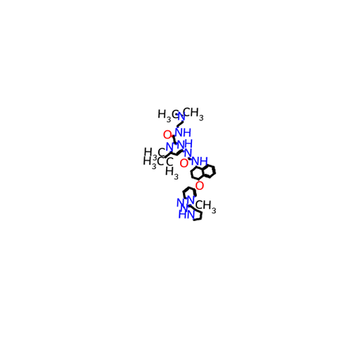 CN(C)CCNC(=O)c1nc(NC(=O)N[C@H]2CC[C@@H](Oc3ccc4nnc(C5(C)CCCN5)n4c3)c3ccccc32)cc(C(C)(C)C)n1